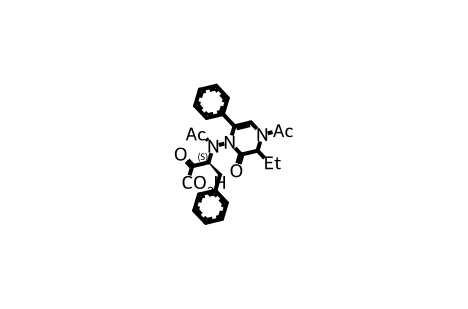 CCC1C(=O)N(N(C(C)=O)[C@@H](Cc2ccccc2)C(=O)C(=O)O)C(c2ccccc2)=CN1C(C)=O